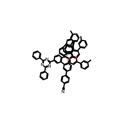 Cc1cccc(-c2ccc3c(c2)c2cc(-c4cccc(C)c4)ccc2n3-c2ccc(-c3nc(-c4ccccc4)nc(-c4ccccc4)n3)cc2-c2cc(-c3ccc(C#N)cc3)ccc2-n2c3ccc4cc3c3c(c(-c5cccc(C)c5)ccc32)c2cccc4c2)c1